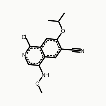 CONc1cnc(Cl)c2cc(OC(C)C)c(C#N)cc12